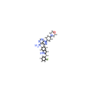 Nc1ncnc2c1c(-c1ccc3[nH]c(Cc4ccccc4F)cc3c1)nn2C1CCC(N2CCOCC2)CC1